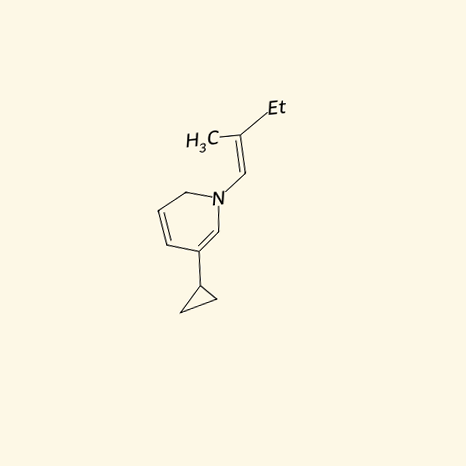 CC/C(C)=C/N1C=C(C2CC2)C=CC1